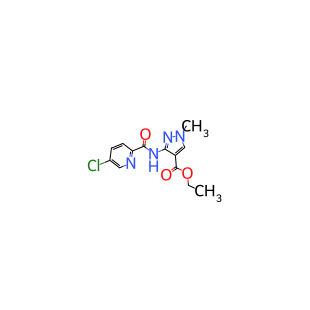 CCOC(=O)c1cn(C)nc1NC(=O)c1ccc(Cl)cn1